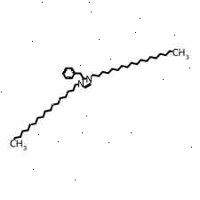 CCCCCCCCCCCCCCCCCCN1C=CN(CCCCCCCCCCCCCCCCCC)C1Cc1ccccc1